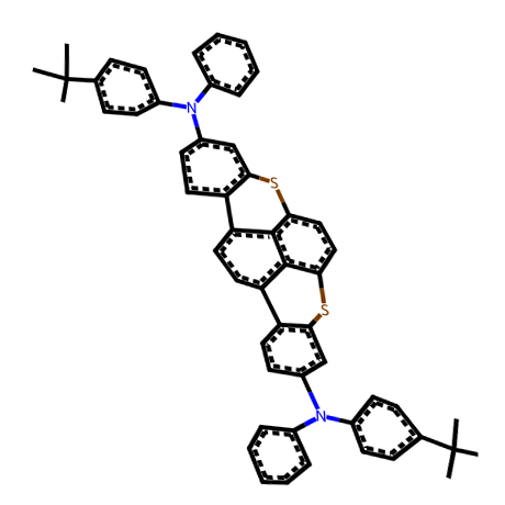 CC(C)(C)c1ccc(N(c2ccccc2)c2ccc3c(c2)Sc2ccc4c5c(ccc-3c25)-c2ccc(N(c3ccccc3)c3ccc(C(C)(C)C)cc3)cc2S4)cc1